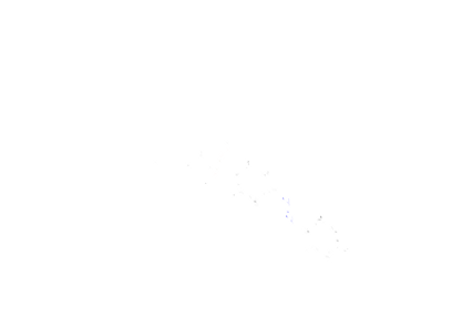 O=S(=O)(O)OCCS(=O)(=O)c1ccc(N=Nc2ccccc2)cc1